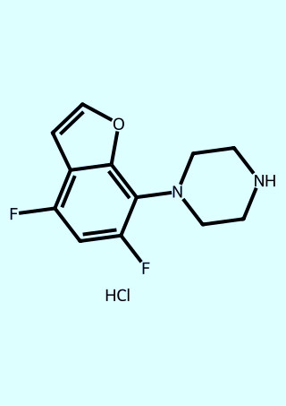 Cl.Fc1cc(F)c2ccoc2c1N1CCNCC1